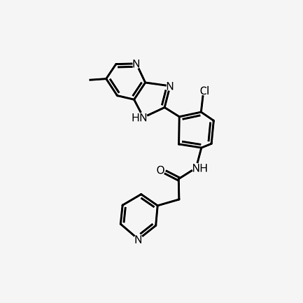 Cc1cnc2nc(-c3cc(NC(=O)Cc4cccnc4)ccc3Cl)[nH]c2c1